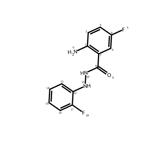 Nc1ccc(F)cc1C(=O)NNc1ccccc1F